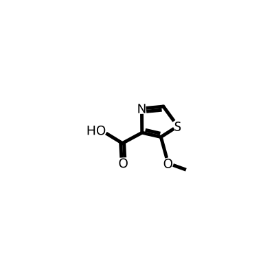 COc1scnc1C(=O)O